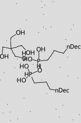 CCCCCCCCCCCCC[PH](O)(O)O[PH](O)(O)CCCCCCCCCCCCC.OCC(CO)(CO)CO